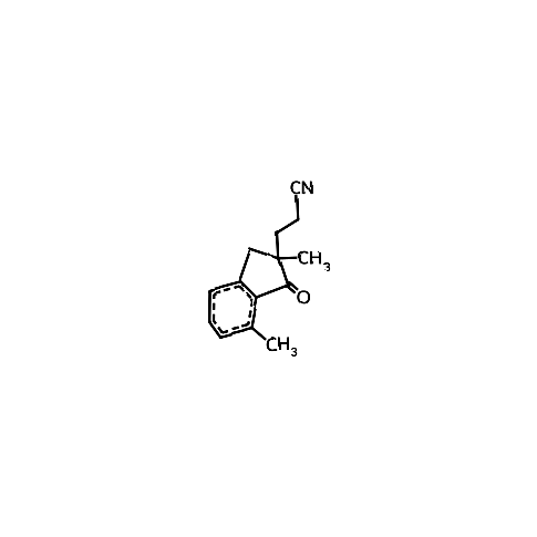 Cc1cccc2c1C(=O)C(C)(CCC#N)C2